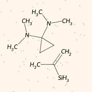 C=C(C)[SiH3].CN(C)C1(N(C)C)CC1